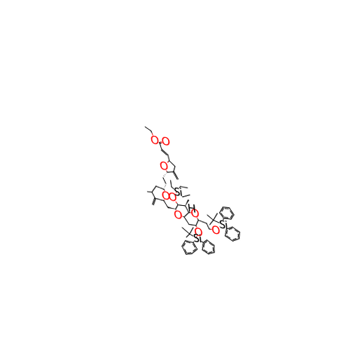 C=C1C(C)C[C@H](CC[C@@H]2OC(/C=C/C(=O)OCC)CC2=C)OC1C[C@@H]1OC2CC(O[Si](c3ccccc3)(c3ccccc3)C(C)(C)C)C(CCO[Si](c3ccccc3)(c3ccccc3)C(C)(C)C)O[C@H]2[C@H](C)C1O[Si](CC)(CC)CC